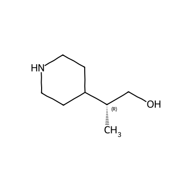 C[C@@H](CO)C1CCNCC1